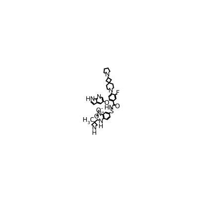 CC1(CNc2ccc(SNC(=O)c3cc(F)c(N4CCC5(CC4)CC(N4CCCC4)C5)cc3Oc3cnc4[nH]ccc4c3)cc2[N+](=O)[O-])CNC1